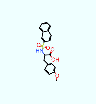 COc1ccc(CC(NS(=O)(=O)c2ccc3ccccc3c2)C(=O)O)cc1